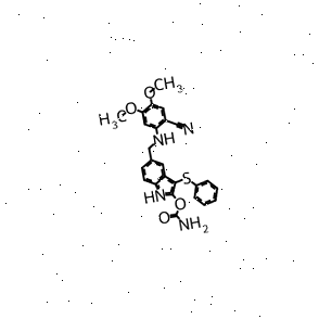 COc1cc(C#N)c(NCc2ccc3[nH]c(OC(N)=O)c(Sc4ccccc4)c3c2)cc1OC